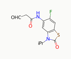 CC(C)n1c(=O)sc2cc(F)c(NC(=O)CC=O)cc21